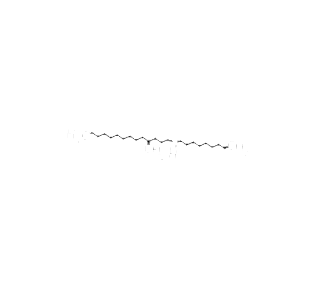 C=CCCCCCCCNCCCC(=C)CCCCCCCCCC